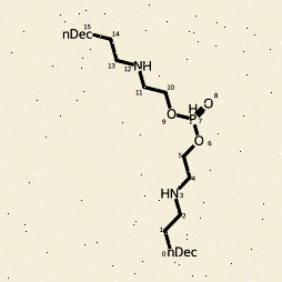 CCCCCCCCCCCCNCCO[PH](=O)OCCNCCCCCCCCCCCC